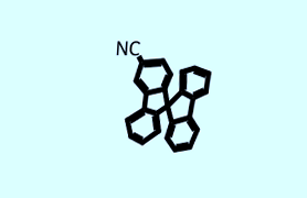 N#Cc1ccc2c(c1)-c1ccccc1C21c2ccccc2-c2ccccc21